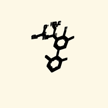 Cc1cc(-c2c(C)cccc2C)cc([C@H](CC(=O)O)N[S+]([O-])C(C)(C)C)c1F